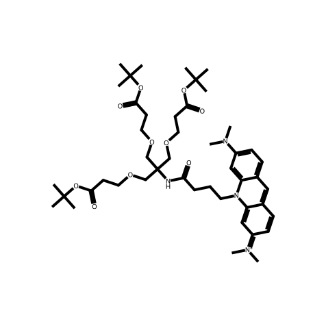 CN(C)c1ccc2cc3ccc(=[N+](C)C)cc-3n(CCCC(=O)NC(COCCC(=O)OC(C)(C)C)(COCCC(=O)OC(C)(C)C)COCCC(=O)OC(C)(C)C)c2c1